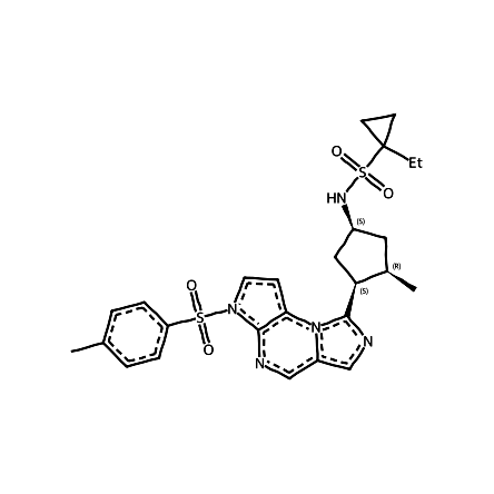 CCC1(S(=O)(=O)N[C@H]2C[C@@H](C)[C@@H](c3ncc4cnc5c(ccn5S(=O)(=O)c5ccc(C)cc5)n34)C2)CC1